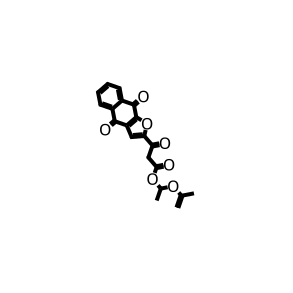 C=C(C)OC(C)OC(=O)CC(=O)c1cc2c(o1)C(=O)c1ccccc1C2=O